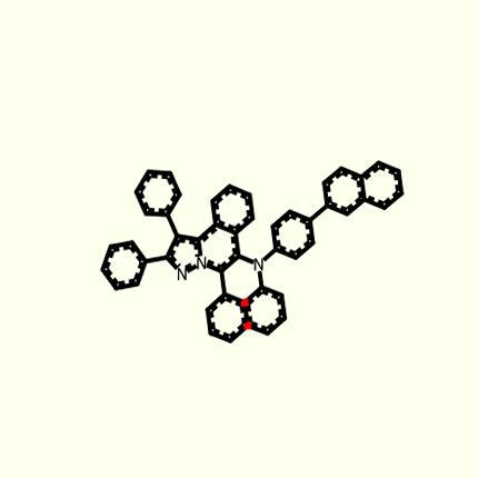 c1ccc(-c2nn3c(-c4ccccc4)c(N(c4ccccc4)c4ccc(-c5ccc6ccccc6c5)cc4)c4ccccc4c3c2-c2ccccc2)cc1